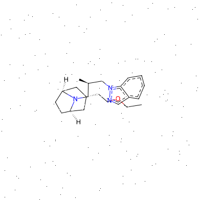 CCOCC[C@@H]1C[C@H]2CC[C@@H](C1)N2C[C@@H](C)Cn1ncc2ccccc21